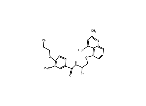 CCC(COc1cccc2nc(C)cc(N)c12)NC(=O)c1ccc(OCCO)c(OC)c1